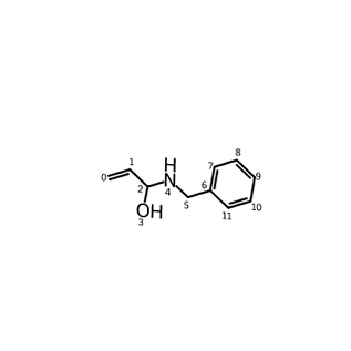 C=CC(O)NCc1ccccc1